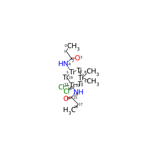 CCC(=O)[NH][Ti]1[Ti][Ti]([CH3])([CH3])[Ti][Ti]([Cl])([Cl])([NH]C(=O)CC)[Ti]1